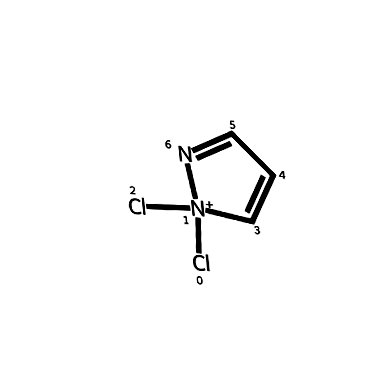 Cl[N+]1(Cl)C=CC=N1